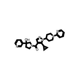 O=C(c1cnn(C2CCN(c3ccccn3)CC2)c1C1CC1)N1CCC(O)(c2cccnc2)C1